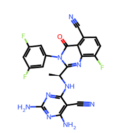 C[C@H](Nc1nc(N)nc(N)c1C#N)c1nc2c(F)ccc(C#N)c2c(=O)n1-c1cc(F)cc(F)c1